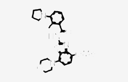 COc1ccc(N2CCOCC2)c2sc(NC(=O)c3cccc(N4CCCC4)c3C)nc12